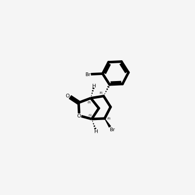 O=C1O[C@H]2C[C@@H]1[C@H](c1ccccc1Br)C[C@H]2Br